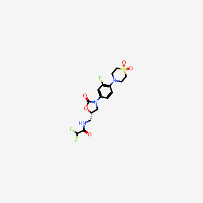 O=C(NC[C@H]1CN(c2ccc(N3CCS(=O)(=O)CC3)c(F)c2)C(=O)O1)C(F)F